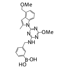 COCc1cccc2c1cc(C)n2-c1nc(NCc2cccc(B(O)O)c2)nc(OC)n1